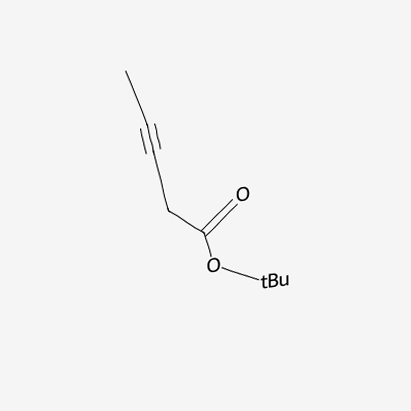 CC#CCC(=O)OC(C)(C)C